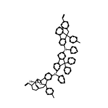 C=Cc1ccc(CC2(c3ccc(C)cc3)c3ccccc3-c3ccc(N(c4ccccc4)c4ccc5c(c4)C(c4ccccc4)(c4ccccc4)c4cc(N(c6ccccc6)c6ccc7c(c6)C6(c8ccc(C)cc8)CC8=C[C@@H](C9=CCCC6=C97)C(C=C)CC8)ccc4-5)cc32)cc1